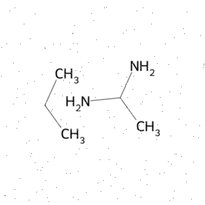 CC(N)N.CCC